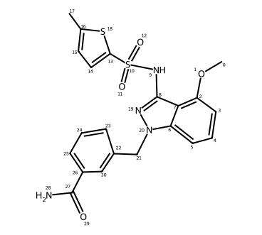 COc1cccc2c1c(NS(=O)(=O)c1ccc(C)s1)nn2Cc1cccc(C(N)=O)c1